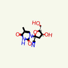 Cc1cn([C@@]2(C#N)C[C@H](O)[C@@H](CO)O2)c(=O)[nH]c1=O